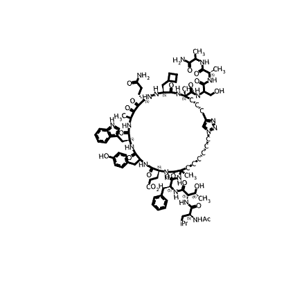 CC(=O)N[C@@H](CC(C)C)C(=O)N[C@H](C(=O)N[C@@H](Cc1ccccc1)C(=O)NC1(C)CCCCCCn2cc(nn2)CCC[C@@](C)(C(=O)NC(CO)C(=O)N[C@@H](C)C(=O)NC(C)C(N)=O)NC(=O)[C@H](CC2CCC2)NN[C@@H](CCC(N)=O)C(=O)C(=O)C(C)NC(=O)[C@H](Cc2c[nH]c3ccccc23)NC(=O)C(Cc2ccc(O)cc2)NC(=O)[C@H](CCC(=O)O)NC1=O)[C@@H](C)O